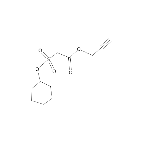 C#CCOC(=O)CS(=O)(=O)OC1CCCCC1